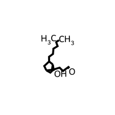 CC(C)CCCCC1CC2CC1C(O)(CCC=O)C2